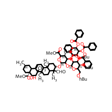 CCCCOCC1O[C@@H](OC2C(O[C@@H]3OC[C@@H](OC(=O)c4ccccc4)C(OC(=O)c4ccccc4)C3OC(=O)c3ccccc3)[C@H](OC(C)=O)C(C(=O)OC)O[C@H]2O[C@H]2CCC3(C)C(CCC4(C)C3CC=C3C5C[C@H](C)CC[C@]5(C(=O)OC)C(O)CC34C)C2(C)C=O)C(OC(=O)c2ccccc2)C(OCCCC)[C@H]1OCCCC